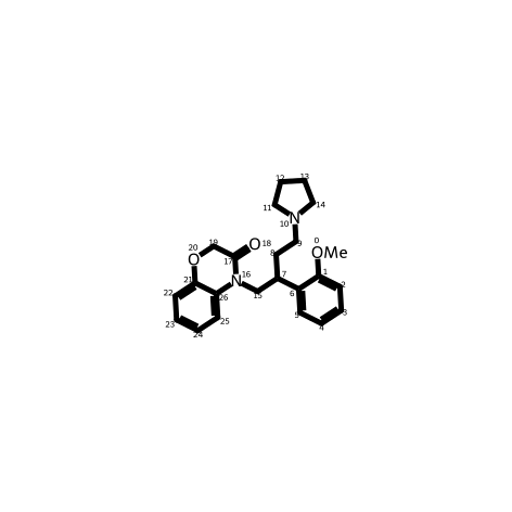 COc1ccccc1C(CCN1CCCC1)CN1C(=O)COc2ccccc21